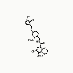 COc1c(Cl)cc(C(=O)NCC2CCN(CCn3ccn(C(C)C)c3=O)CC2OC)c2c1OCCO2